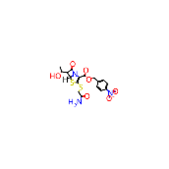 CC(O)C1C(=O)N2C(C(=O)OCc3ccc([N+](=O)[O-])cc3)=C(SCC(N)=O)S[C@H]12